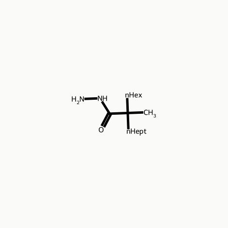 CCCCCCCC(C)(CCCCCC)C(=O)NN